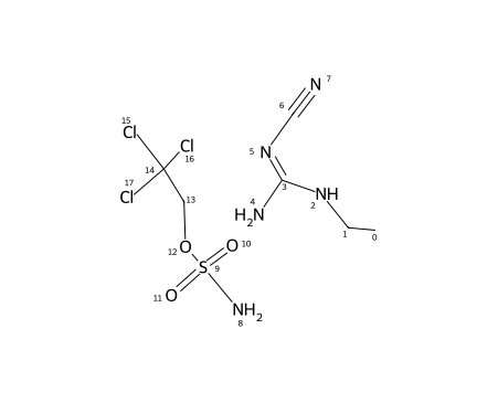 CCN/C(N)=N\C#N.NS(=O)(=O)OCC(Cl)(Cl)Cl